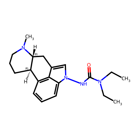 CCN(CC)C(=O)Nn1cc2c3c(cccc31)[C@H]1CCCN(C)[C@@H]1C2